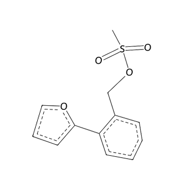 CS(=O)(=O)OCc1ccccc1-c1ccco1